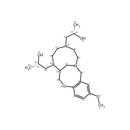 COc1ccc2c(c1)CN1CCN(C[C@H](C)O)CCN(C[C@H](C)O)C(CO2)C1